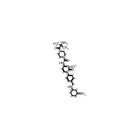 CC(C)(N)C(=O)N1CCN(C(=O)Nc2ccn(-c3ccc(CNC4CCCC(N)C4)cc3)c(=O)n2)CC1.Cl